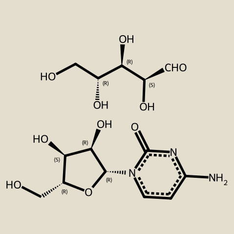 Nc1ccn([C@@H]2O[C@H](CO)[C@@H](O)[C@H]2O)c(=O)n1.O=C[C@@H](O)[C@H](O)[C@H](O)CO